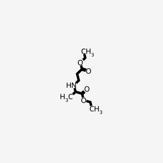 CCOC(=O)CCNC(C)C(=O)OCC